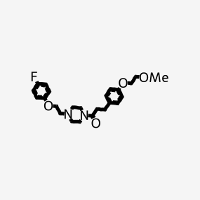 COCCOc1ccc(CCC(=O)N2CCN(CCOc3ccc(F)cc3)CC2)cc1